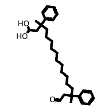 CC(CC=O)(CCCCCCCCCCCC(C)(CC(O)O)c1ccccc1)c1ccccc1